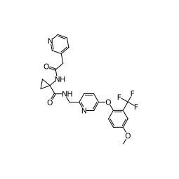 COc1ccc(Oc2ccc(CNC(=O)C3(NC(=O)Cc4cccnc4)CC3)nc2)c(C(F)(F)F)c1